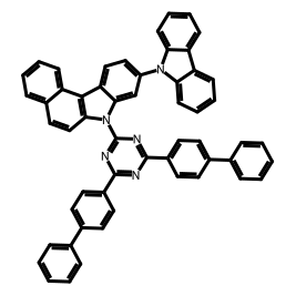 c1ccc(-c2ccc(-c3nc(-c4ccc(-c5ccccc5)cc4)nc(-n4c5cc(-n6c7ccccc7c7ccccc76)ccc5c5c6ccccc6ccc54)n3)cc2)cc1